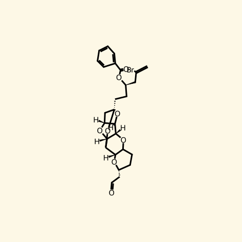 C=C(Br)C[C@@H](CC[C@@]12C[C@H]3O[C@H]4C(O1)[C@H]1O[C@@H](CC=O)CCC1O[C@H]4[C@H]3O2)OC(=O)c1ccccc1